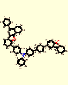 c1ccc(-c2cc3c4cccc(-c5ccc(N(c6ccccc6)c6ccc(-c7ccc(-c8ccc9oc%10ccccc%10c9c8)cc7)cc6)cc5)c4oc3c3ccccc23)cc1